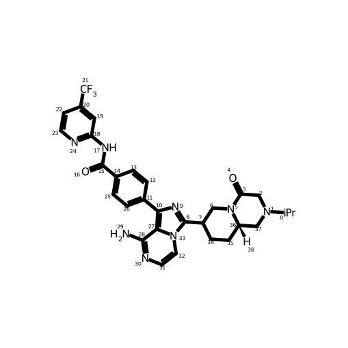 CC(C)N1CC(=O)N2CC(c3nc(-c4ccc(C(=O)Nc5cc(C(F)(F)F)ccn5)cc4)c4c(N)nccn34)CC[C@H]2C1